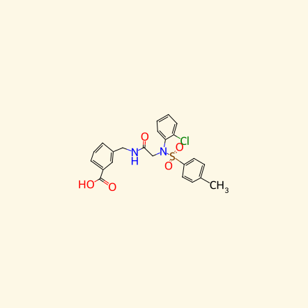 Cc1ccc(S(=O)(=O)N(CC(=O)NCc2cccc(C(=O)O)c2)c2ccccc2Cl)cc1